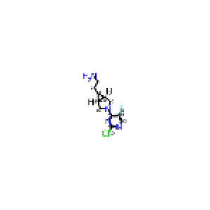 NCCC1[C@H]2CN(c3nc(Cl)ncc3F)C[C@@H]12